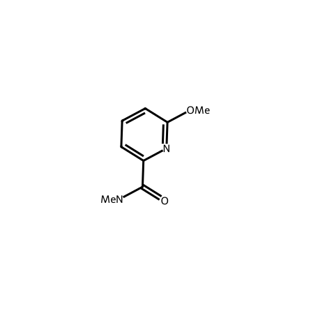 CNC(=O)c1cccc(OC)n1